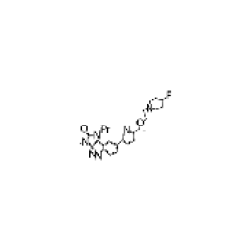 CC(C)n1c(=O)n(C)c2nnc3ccc(-c4ccc([C@@H](C)OCCN5CCC(F)CC5)nc4)cc3c21